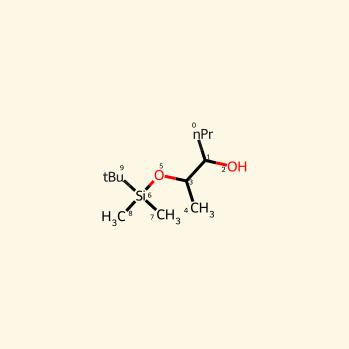 CCCC(O)C(C)O[Si](C)(C)C(C)(C)C